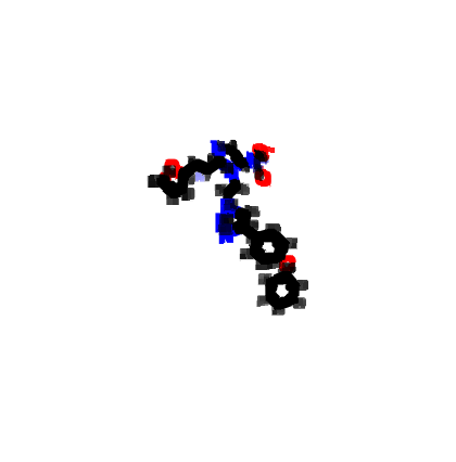 O=[N+]([O-])c1cnc(/C=C/c2ccco2)n1CCn1cc(-c2ccc(Oc3ccccc3)cc2)nn1